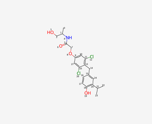 CC(CO)NC(=O)COc1cc(Cl)c(Cc2ccc(O)c(C(C)C)c2)c(Cl)c1